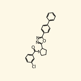 O=C(c1cccc(Cl)c1)N1CCCC1c1nnc(-c2ccc(-c3ccccc3)cc2)o1